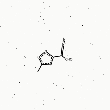 Cc1cc(C(C=O)=[N+]=[N-])no1